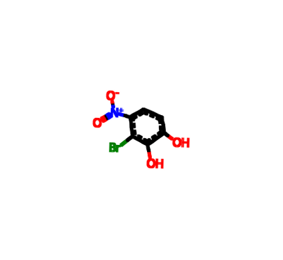 O=[N+]([O-])c1ccc(O)c(O)c1Br